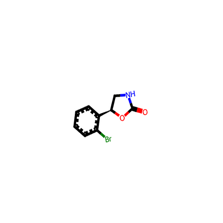 O=C1NC[C@H](c2ccccc2Br)O1